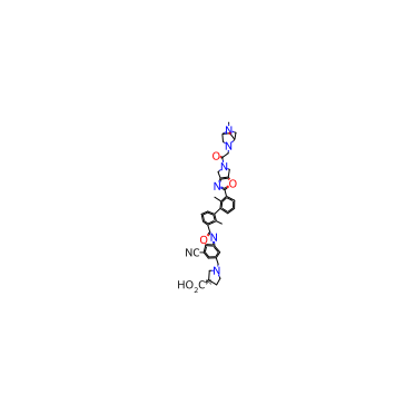 Cc1c(-c2nc3c(o2)CN(C(=O)CN2CC4CC2CN4C)C3)cccc1-c1cccc(-c2nc3cc(CN4CC[C@@H](C(=O)O)C4)cc(C#N)c3o2)c1C